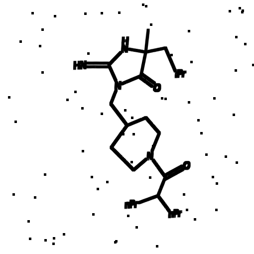 CCCC(CCC)C(=O)N1CCC(CN2C(=N)NC(C)(CC(C)C)C2=O)CC1